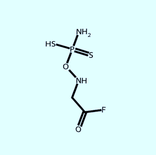 NP(=S)(S)ONCC(=O)F